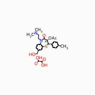 CC(=O)O[C@@H]1C(=O)N(CCN(C)C)c2ccc(CO)cc2S[C@@H]1c1ccc(C)cc1.O=C(O)C(=O)O